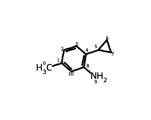 Cc1ccc(C2CC2)c(N)c1